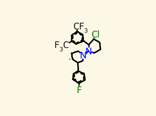 Fc1ccc(C2[CH]CCN(N3CCCC(Cl)C3c3cc(C(F)(F)F)cc(C(F)(F)F)c3)C2)cc1